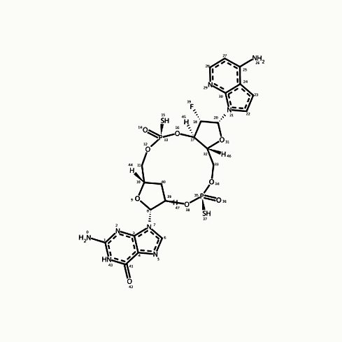 Nc1nc2c(ncn2[C@@H]2O[C@@H]3CO[P@@](=O)(S)O[C@H]4[C@H](F)[C@H](n5ccc6c(N)ccnc65)O[C@@H]4CO[P@@](=O)(S)O[C@@H]2C3)c(=O)[nH]1